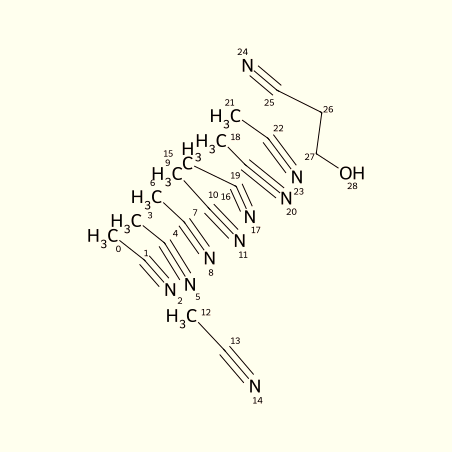 CC#N.CC#N.CC#N.CC#N.CC#N.CC#N.CC#N.CC#N.N#CCCO